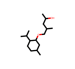 CC(O)CC(C)COC1CC(C)CCC1C(C)C